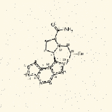 NC(=O)C1[CH]C[C@H](c2nnc3cnc4[nH]ccc4n23)N1CC(F)F